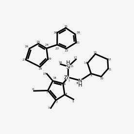 CC1=C(C)C(C)[C]([Zr]([NH]C2CCCCC2)[SiH](C)C)=C1C.c1ccc(-c2ccccc2)cc1